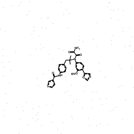 COc1cc(N(C(=O)C(N)=O)C(C)(C)Cc2ccc(NC(=O)c3ccsc3)cc2)ccc1-c1cnco1